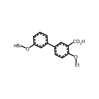 CCCCOc1cccc(-c2ccc(OCC)c(C(=O)O)c2)c1